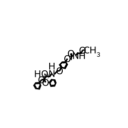 COCCNC(=O)COc1ccc(OCCNC[C@H](O)C(Oc2ccccc2)Oc2ccccc2)cc1